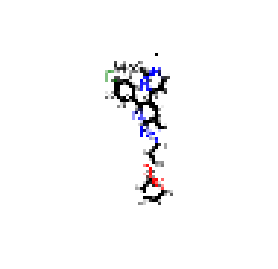 CSc1nccc(-c2cc3cn(CCCOC4CCCCO4)nc3nc2-c2ccc(F)cc2)n1